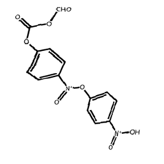 O=COC(=O)Oc1ccc([N+](=O)Oc2ccc([N+](=O)O)cc2)cc1